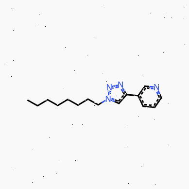 CCCCCCCCn1cc(-c2cccnc2)nn1